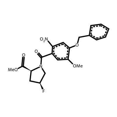 COC(=O)[C@@H]1C[C@H](F)CN1C(=O)c1cc(OC)c(OCc2ccccc2)cc1[N+](=O)[O-]